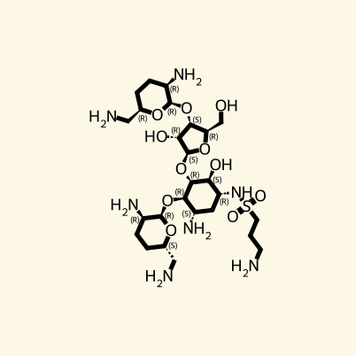 NCCCS(=O)(=O)N[C@@H]1C[C@H](N)[C@@H](O[C@H]2O[C@H](CN)CC[C@H]2N)[C@H](O[C@@H]2O[C@H](CO)[C@@H](O[C@H]3O[C@@H](CN)CC[C@H]3N)[C@H]2O)[C@H]1O